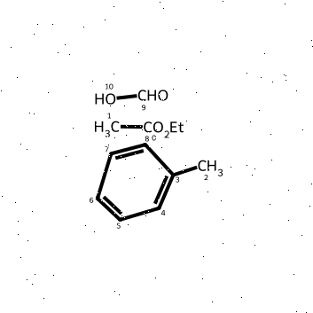 CCOC(C)=O.Cc1ccccc1.O=CO